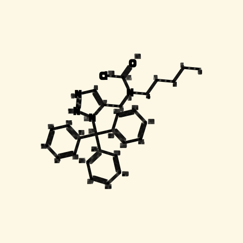 CCCCCN(Cc1cnnn1C(c1ccccc1)(c1ccccc1)c1ccccc1)C(=O)Cl